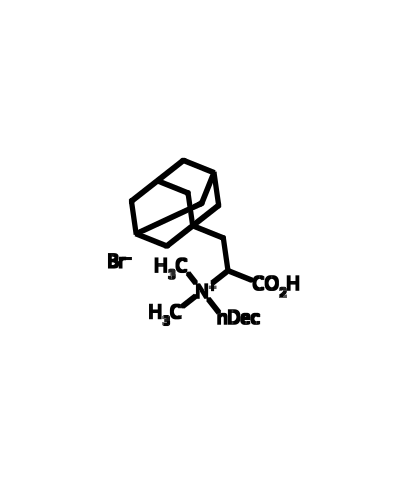 CCCCCCCCCC[N+](C)(C)C(CC12CC3CC(CC(C3)C1)C2)C(=O)O.[Br-]